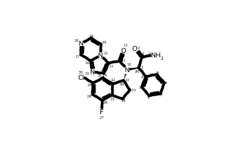 NC(=O)[C@@H](c1ccccc1)N(C(=O)c1cnc2cnccn12)[C@@H]1CCc2c(F)cc(Cl)cc21